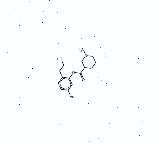 CC(=O)c1ccc(CCO)c(OC(=O)C2CCCN(C)C2)c1